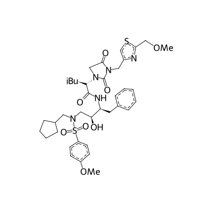 CC[C@H](C)[C@@H](C(=O)N[C@@H](Cc1ccccc1)[C@@H](O)CN(CC1CCCC1)S(=O)(=O)c1ccc(OC)cc1)N1CC(=O)N(Cc2csc(COC)n2)C1=O